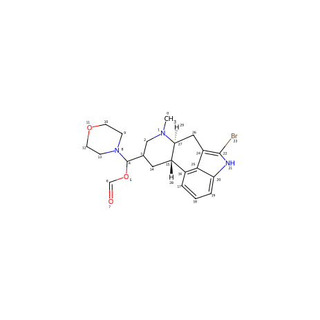 CN1CC(C(OC=O)N2CCOCC2)C[C@H]2c3cccc4[nH]c(Br)c(c34)C[C@@H]21